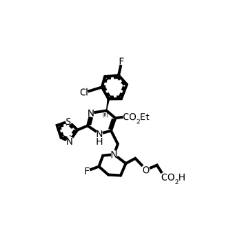 CCOC(=O)C1=C(CN2CC(F)CCC2COCC(=O)O)NC(c2nccs2)=N[C@H]1c1ccc(F)cc1Cl